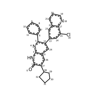 O=c1[nH]c2nc(-c3ccccc3)c(-c3cc(Cl)c4ncccc4c3)cc2cc1C1CCCC1